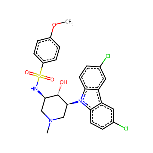 CN1C[C@@H](NS(=O)(=O)c2ccc(OC(F)(F)F)cc2)[C@H](O)[C@@H](n2c3ccc(Cl)cc3c3cc(Cl)ccc32)C1